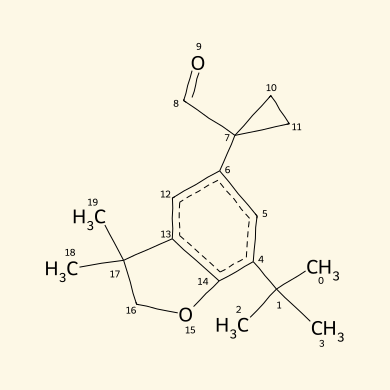 CC(C)(C)c1cc(C2(C=O)CC2)cc2c1OCC2(C)C